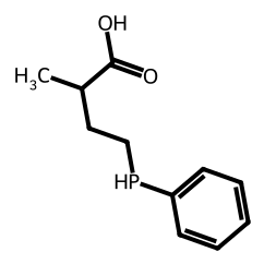 CC(CCPc1ccccc1)C(=O)O